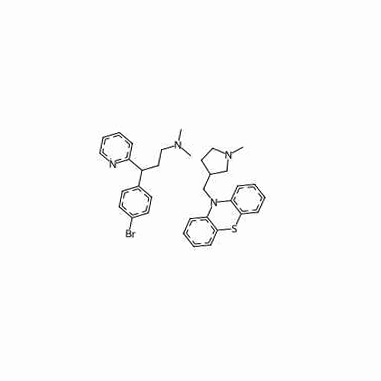 CN(C)CCC(c1ccc(Br)cc1)c1ccccn1.CN1CCC(CN2c3ccccc3Sc3ccccc32)C1